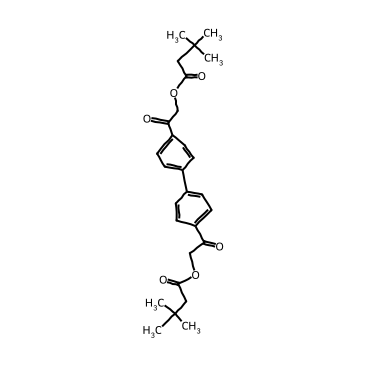 CC(C)(C)CC(=O)OCC(=O)c1ccc(-c2ccc(C(=O)COC(=O)CC(C)(C)C)cc2)cc1